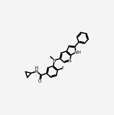 CN(c1cnc2[nH]c(-c3ccccc3)cc2c1)c1cc(C(=O)NC2CC2)ccc1F